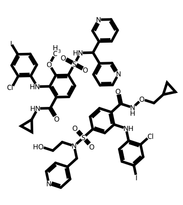 COc1c(S(=O)(=O)NC(c2cccnc2)c2cccnc2)ccc(C(=O)NC2CC2)c1Nc1ccc(I)cc1Cl.O=C(NOCC1CC1)c1ccc(S(=O)(=O)N(CCO)Cc2ccncc2)cc1Nc1ccc(I)cc1Cl